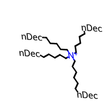 CCCCCCCCCCCCCCCC[N+](CCCCCCCCCCCCCCC)(CCCCCCCCCCCCCCC)CCCCCCCCCCCCCCC